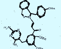 COc1ccc(C2c3ccccc3C=NN2/C=C/C(=O)c2cc(Cc3cnc(N)nc3N)cc(OC)c2OC)cc1